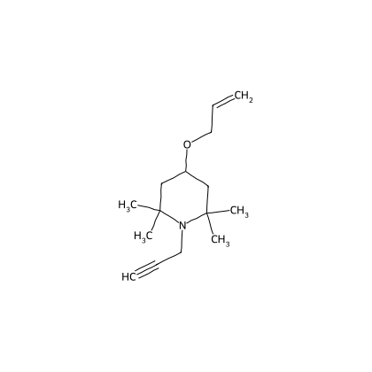 C#CCN1C(C)(C)CC(OCC=C)CC1(C)C